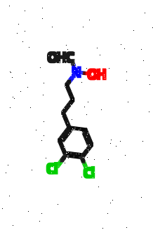 O=CN(O)CCCc1ccc(Cl)c(Cl)c1